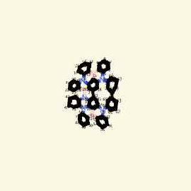 c1ccc(N2c3ccccc3B3c4ccccc4N4c5ccccc5B5c6c(cc2c3c64)-c2cc3c4c6c2N5c2ccccc2N6c2ccccc2B4c2ccccc2N3c2ccccc2)cc1